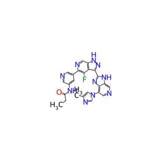 CCC(=O)Nc1cncc(-c2ncc3[nH]nc(-c4nc5c(-n6cnc(C)c6)cncc5[nH]4)c3c2F)c1